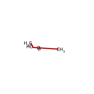 CCCCCCCCCCCCCCCCCCCCCCCCCCCCCCCCC(=O)OCCCCCCCC/C=C\C[C@H](O)CCCCCC